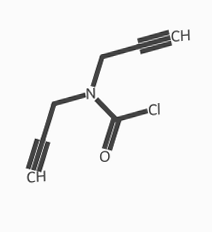 C#CCN(CC#C)C(=O)Cl